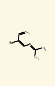 C=C/C(=C\N=C(C)C)C(C)(C)C